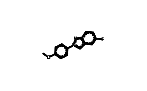 COc1ccc(-n2cc3cc(F)ccc3n2)cc1